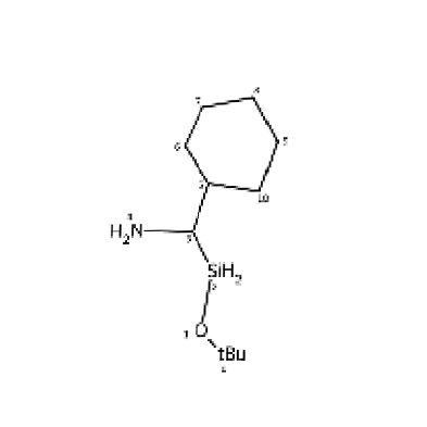 CC(C)(C)O[SiH2]C(N)C1CCCCC1